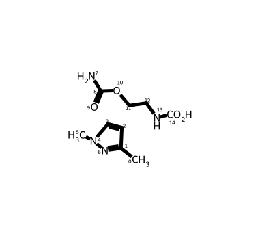 Cc1ccn(C)n1.NC(=O)OCCNC(=O)O